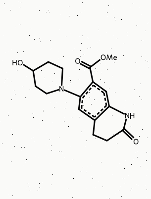 COC(=O)c1cc2c(cc1N1CCC(O)CC1)CCC(=O)N2